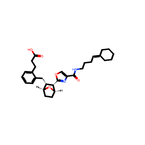 O=C(O)CCc1ccccc1C[C@@H]1[C@H](c2nc(C(=O)NCCCC=C3CCCCC3)co2)[C@H]2CC[C@@H]1O2